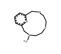 CN1CCOCCNCc2cccc(n2)C1